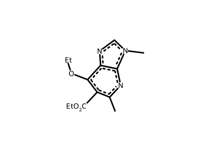 CCOC(=O)c1c(C)nc2c(ncn2C)c1OCC